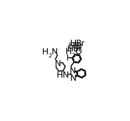 Br.Br.Br.NCCN1CCC(Nc2nc3ccccc3n2Cc2ccccc2I)CC1.O